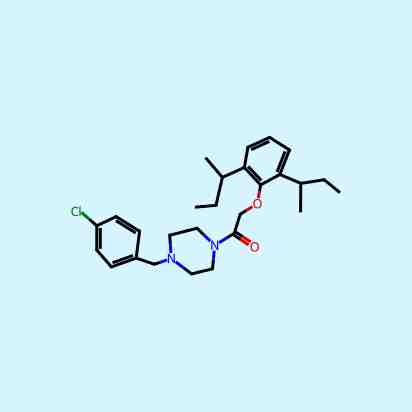 CCC(C)c1cccc(C(C)CC)c1OCC(=O)N1CCN(Cc2ccc(Cl)cc2)CC1